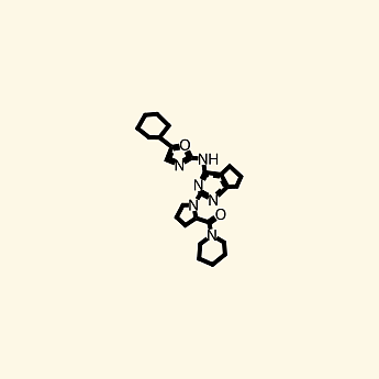 O=C(C1CCCN1c1nc2c(c(Nc3ncc(C4CCCCC4)o3)n1)CCC2)N1CCCCC1